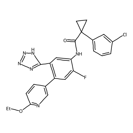 CCOc1ccc(-c2cc(F)c(NC(=O)C3(c4cccc(Cl)c4)CC3)cc2-c2nnn[nH]2)cn1